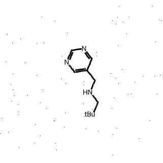 CC(C)(C)CNCc1cncnc1